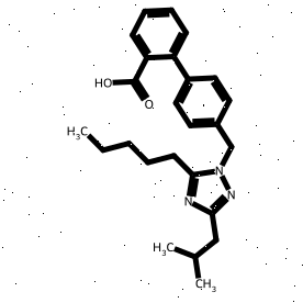 CCCCCc1nc(CC(C)C)nn1Cc1ccc(-c2ccccc2C(=O)O)cc1